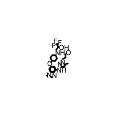 COCCCn1nc(Nc2cc(O[C@H]3CC[C@@H](NCC(O)C(F)(F)F)CC3)cc3c2ncn3C)cc1C